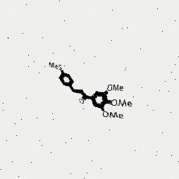 COc1cc(C(=O)/C=C/c2ccc(SC)cc2)cc(OC)c1OC